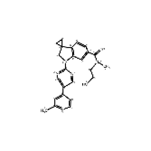 Cc1cc(-c2cnc(N3CC4(CC4)c4ccc(C(=O)N(C)CCO)cc43)nc2)ccn1